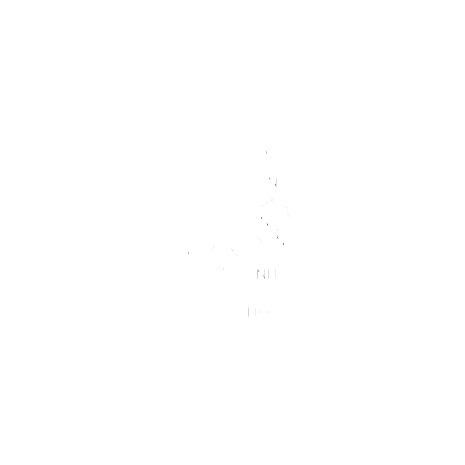 Cc1c(Cc2c(CNCCO)nc3ccc(N4CCOCC4)cn23)cccc1C(F)(F)F